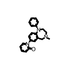 CN1CCN(c2ccccc2)c2ccc(-n3ccccc3=O)cc2C1